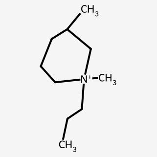 CCC[N+]1(C)CCCC(C)C1